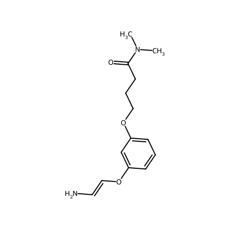 CN(C)C(=O)CCCOc1cccc(O/C=C/N)c1